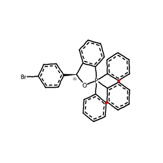 Brc1ccc([C@@H]2OP(c3ccccc3)(c3ccccc3)(c3ccccc3)c3ccccc32)cc1